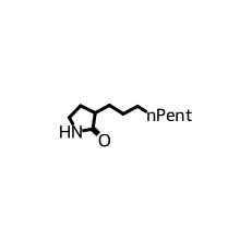 CCCCCCCCC1CCNC1=O